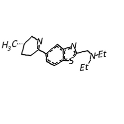 CCN(CC)Cc1nc2cc(C3=NC[C@@H](C)CC3)ccc2s1